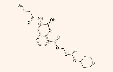 CC(=O)CCC(=O)N[C@H]1Cc2cccc(C(=O)OCOC(=O)OC3CCOCC3)c2OB1O